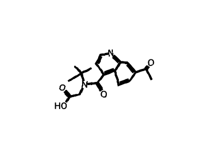 CC(=O)c1ccc2c(C(=O)N(CC(=O)O)C(C)(C)C)ccnc2c1